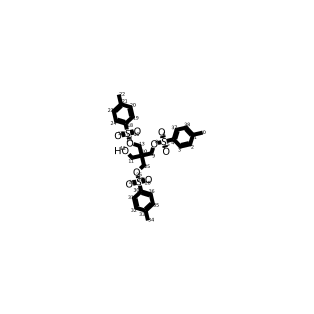 Cc1ccc(S(=O)(=O)OCC(CO)(COS(=O)(=O)c2ccc(C)cc2)COS(=O)(=O)c2ccc(C)cc2)cc1